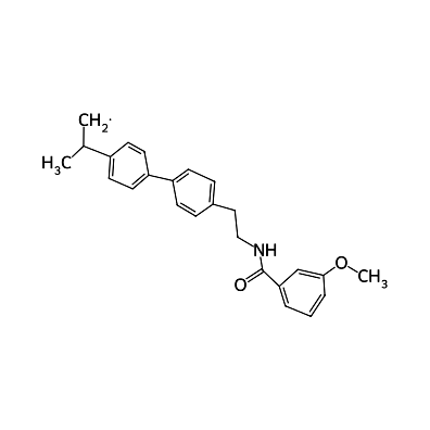 [CH2]C(C)c1ccc(-c2ccc(CCNC(=O)c3cccc(OC)c3)cc2)cc1